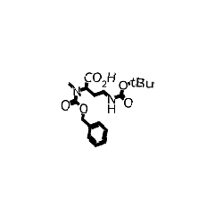 CN(C(=O)OCc1ccccc1)C(CCNC(=O)OC(C)(C)C)C(=O)O